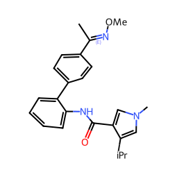 CO/N=C(\C)c1ccc(-c2ccccc2NC(=O)c2cn(C)cc2C(C)C)cc1